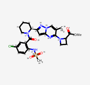 COC(=O)C1CCN1c1nc2cc([C@@H]3CCCCN3C(=O)c3cc(Cl)ccc3NS(C)(=O)=O)nn2cc1C